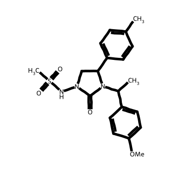 COc1ccc(C(C)N2C(=O)N(NS(C)(=O)=O)CC2c2ccc(C)cc2)cc1